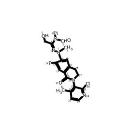 CCN(C=O)/C(CO)=N\N(C)c1cc2c(cc1F)C(=O)N(c1c(C)ccnc1Cl)CC2